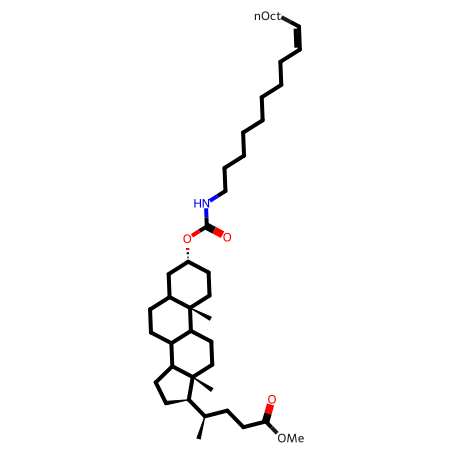 CCCCCCCC/C=C\CCCCCCCCNC(=O)O[C@@H]1CC[C@@]2(C)C(CCC3C2CC[C@@]2(C)C3CC[C@@H]2[C@H](C)CCC(=O)OC)C1